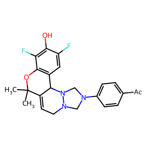 CC(=O)c1ccc(N2CN3CC=C4C(c5cc(F)c(O)c(F)c5OC4(C)C)N3C2)cc1